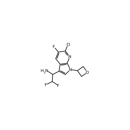 NC(c1cn(C2COC2)c2nc(Cl)c(F)cc12)C(F)F